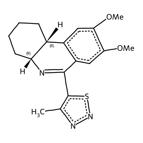 COc1cc2c(cc1OC)[C@H]1CCCC[C@H]1N=C2c1snnc1C